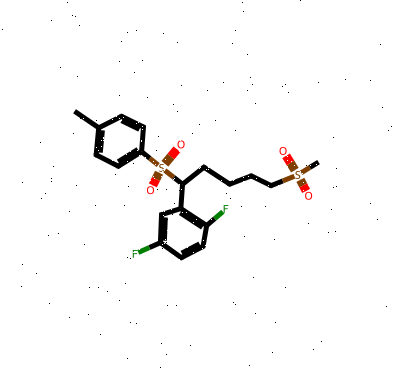 Cc1ccc(S(=O)(=O)C(CCCCS(C)(=O)=O)c2cc(F)ccc2F)cc1